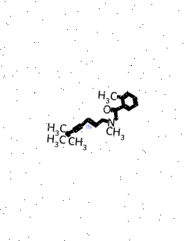 Cc1ccccc1C(=O)CN(C)C/C=C/C#CC(C)(C)C